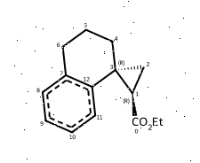 CCOC(=O)[C@@H]1C[C@]12CCCc1ccccc12